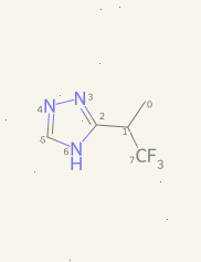 CC(c1nnc[nH]1)C(F)(F)F